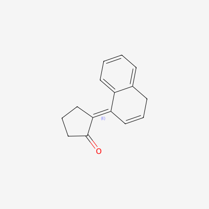 O=C1CCC/C1=C1/C=CCc2ccccc21